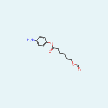 Nc1ccc(OC(=O)CCCCCOC=O)cc1